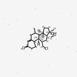 CC1CC2=CC(=O)CC[C@]2(C)[C@H]2C(CCl)C[C@@]3(CI)[C@@H](CC[C@]3(C)O)[C@H]12